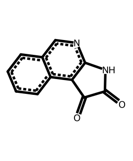 O=C1Nc2ncc3ccccc3c2C1=O